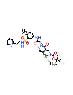 Cc1ccc(NC(=O)Cn2ncc(Cl)c(CN(C)C(=O)OC(C)(C)C)c2=O)cc1S(=O)(=O)NCCc1ccccn1